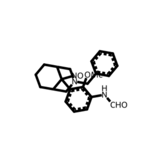 COc1c(NC=O)cccc1C1(N=O)C2CCCC1CN(Cc1ccccc1)C2